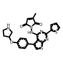 CC1=CC(=O)N(Nc2nc(-c3cccs3)nc3scc(-c4ccc(OC5CCNC5)cc4)c23)C1=O